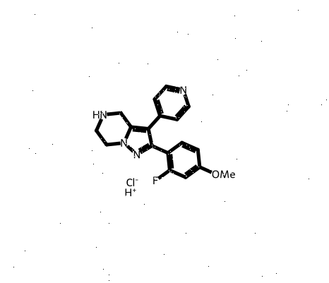 COc1ccc(-c2nn3c(c2-c2ccncc2)CNCC3)c(F)c1.[Cl-].[H+]